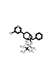 CC(C)(C)[Si](C)(C)OC1CC2CC(c3cncc(Cl)c3)CC1N2Cc1ccccc1